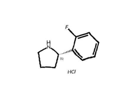 Cl.Fc1ccccc1[C@@H]1CCCN1